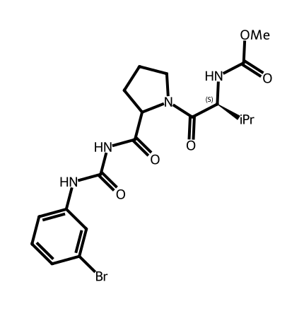 COC(=O)N[C@H](C(=O)N1CCCC1C(=O)NC(=O)Nc1cccc(Br)c1)C(C)C